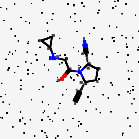 C#C[C@H]1CC[C@@H](C#N)N1C(=O)CNC1CC1